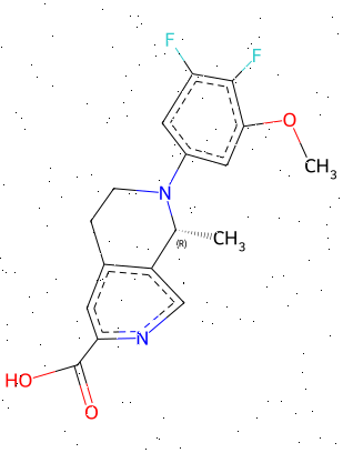 COc1cc(N2CCc3cc(C(=O)O)ncc3[C@H]2C)cc(F)c1F